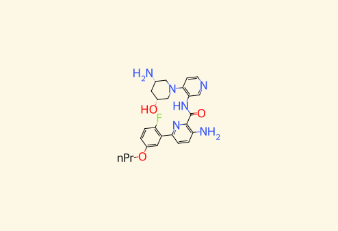 CCCOc1ccc(F)c(-c2ccc(N)c(C(=O)Nc3cnccc3N3C[C@@H](N)C[C@@H](O)C3)n2)c1